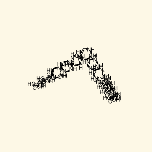 C1CNCCNCCNCCN1.C1CNCCNCCNCCN1.C1CNCCNCCNCCN1.C1CNCCNCCNCCN1.C1CNCCNCCNCCN1.C1CNCCNCCNCCN1.O=P(O)(O)CP(=O)(O)O.O=P(O)(O)CP(=O)(O)O.O=P(O)(O)CP(=O)(O)O.O=P(O)(O)CP(=O)(O)O.O=P(O)(O)CP(=O)(O)O.O=P(O)(O)CP(=O)(O)O